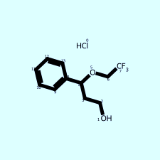 Cl.OCCC(OCC(F)(F)F)c1ccccc1